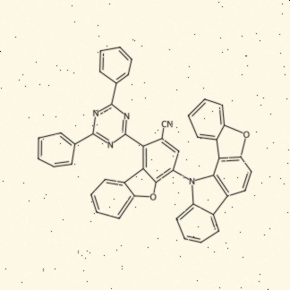 N#Cc1cc(-n2c3ccccc3c3ccc4oc5ccccc5c4c32)c2oc3ccccc3c2c1-c1nc(-c2ccccc2)nc(-c2ccccc2)n1